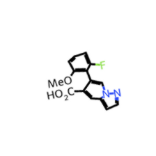 COc1cccc(F)c1-c1cn2nccc2cc1C(=O)O